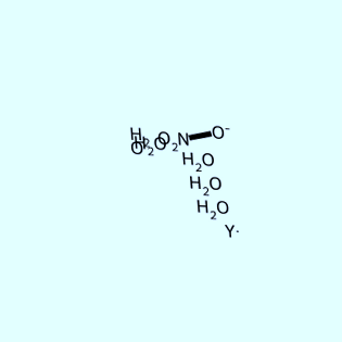 O.O.O.O.O.O=[N+]([O-])[O-].[Y]